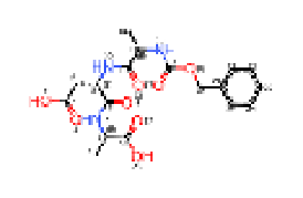 C[C@@H](NC(=O)[C@H](CC(=O)O)NC(=O)[C@@H](C)NC(=O)OCc1ccccc1)C(=O)O